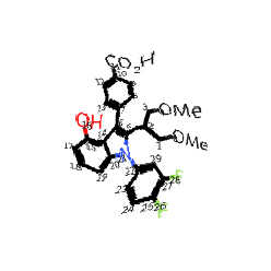 COCC(COC)c1c(-c2ccc(C(=O)O)cc2)c2c(O)cccc2n1-c1ccc(F)c(F)c1